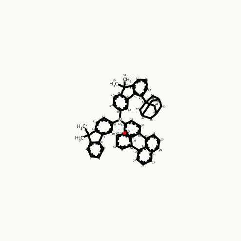 CC1(C)c2ccccc2-c2cc(N(c3ccc(-c4cccc5cccc(-c6ccccc6)c45)cc3)c3ccc4c(c3)-c3c(C56CC7CC(CC(C7)C5)C6)cccc3C4(C)C)ccc21